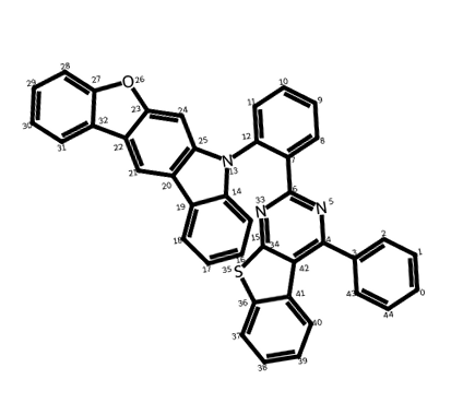 c1ccc(-c2nc(-c3ccccc3-n3c4ccccc4c4cc5c(cc43)oc3ccccc35)nc3sc4ccccc4c23)cc1